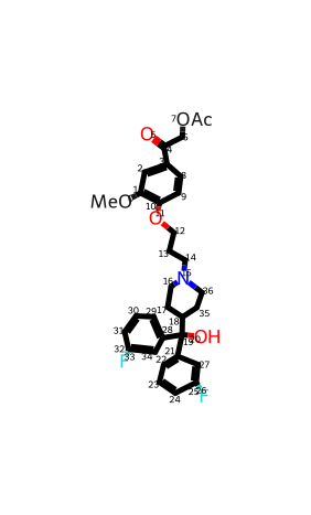 COc1cc(C(=O)COC(C)=O)ccc1OCCCN1CCC(C(O)(c2cccc(F)c2)c2cccc(F)c2)CC1